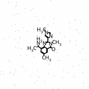 Cc1cc([C@@H](C)N)c2nc(-c3cn(C)cn3)n(C)c(=O)c2c1